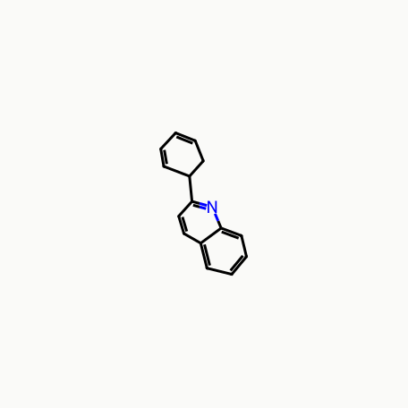 C1=CCC(c2ccc3ccccc3n2)C=C1